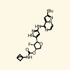 CC(C)(C)c1cc2c(Nc3cc([C@H]4OC[C@@H](OC(=O)NC56CC(C5)C6)[C@H]4F)[nH]n3)nccn2n1